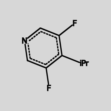 CC(C)c1c(F)cncc1F